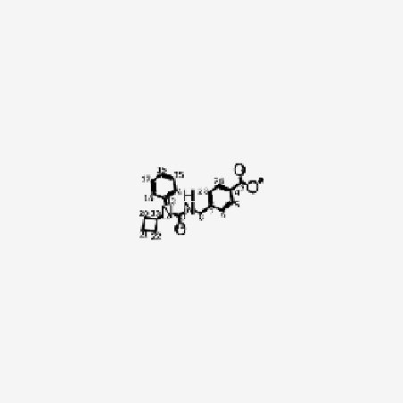 COC(=O)c1ccc(CNC(=O)N(c2ccccc2)C2CCC2)cc1